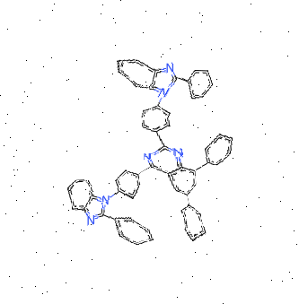 c1ccc(-c2cc(-c3ccccc3)c3nc(-c4ccc(-n5c(-c6ccccc6)nc6ccccc65)cc4)nc(-c4ccc(-n5c(-c6ccccc6)nc6ccccc65)cc4)c3c2)cc1